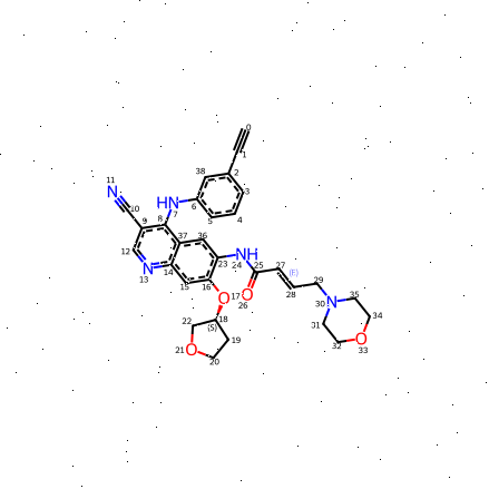 C#Cc1cccc(Nc2c(C#N)cnc3cc(O[C@H]4CCOC4)c(NC(=O)/C=C/CN4CCOCC4)cc23)c1